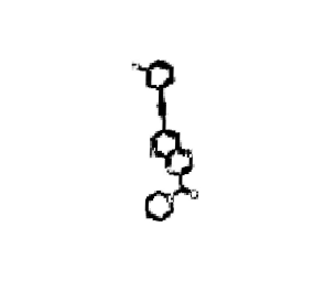 O=C(c1cnc2cc(C#Cc3cccc(F)c3)cnc2n1)N1CCCCC1